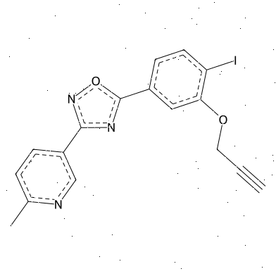 C#CCOc1cc(-c2nc(-c3ccc(C)nc3)no2)ccc1I